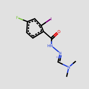 CN(C)/C=N/NC(=O)c1ccc(F)cc1I